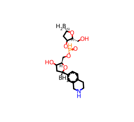 B[C@H]1CC(O[PH](=O)OC[C@H]2O[C@](B)(c3ccc4c(c3)CNCC4)CC2O)[C@@H](CO)O1